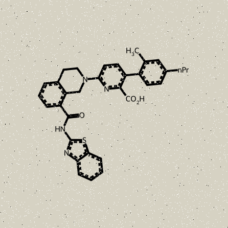 CCCc1ccc(-c2ccc(N3CCc4cccc(C(=O)Nc5nc6ccccc6s5)c4C3)nc2C(=O)O)c(C)c1